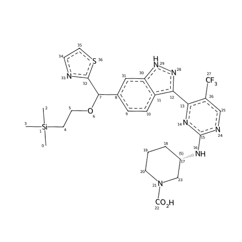 C[Si](C)(C)CCOC(c1ccc2c(-c3nc(N[C@H]4CCCN(C(=O)O)C4)ncc3C(F)(F)F)n[nH]c2c1)c1nccs1